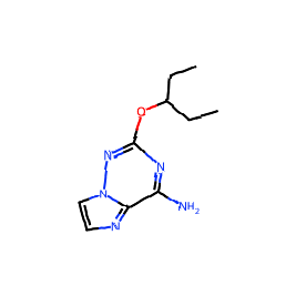 CCC(CC)Oc1nc(N)c2nccn2n1